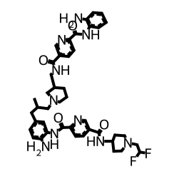 CC(Cc1ccc(N)c(NC(=O)c2ccc(C(=O)NC3CCN(CC(F)F)CC3)cn2)c1)CN1CCCC(CNC(=O)c2ccc(C(=O)Nc3ccccc3N)nc2)C1